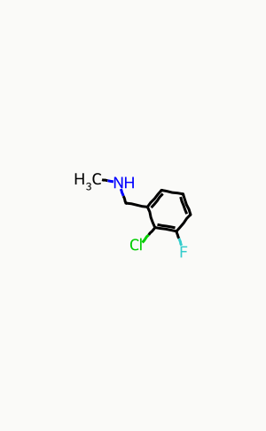 CNCc1cccc(F)c1Cl